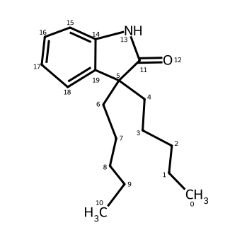 CCCCCC1(CCCCC)C(=O)Nc2ccccc21